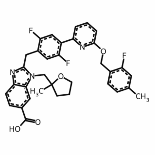 Cc1ccc(COc2cccc(-c3cc(F)c(Cc4nc5ccc(C(=O)O)cc5n4CC4(C)CCCO4)cc3F)n2)c(F)c1